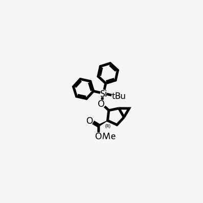 COC(=O)[C@@H]1CC2CC2C1O[Si](c1ccccc1)(c1ccccc1)C(C)(C)C